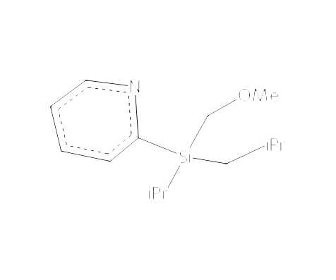 COC[Si](CC(C)C)(c1ccccn1)C(C)C